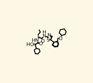 CCC[C@H](NC(=O)[C@@H](O)C1CCCCC1)C(=O)Nc1ncc(-c2ccccc2COC2CCCCC2)s1